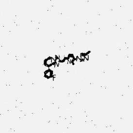 Cc1cn(-c2ccc(/C=C/c3nc4n(n3)CCC[C@H]4c3cccc(F)c3)nc2C)cn1